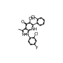 Cc1nn(-c2ccc(F)cc2Cl)c2[nH]c(-c3ccccc3Cl)c(O)c(=O)c12